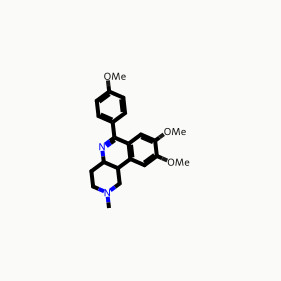 COc1ccc(C2=NC3CCN(C)CC3c3cc(OC)c(OC)cc32)cc1